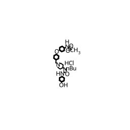 CCCCN(C(=O)Nc1ccc(O)cc1)C1CCN(Cc2ccc(Oc3ccc(NS(C)(=O)=O)cc3)cc2)CC1.Cl